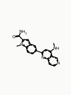 CNc1cc(-c2ccc3c(c2)cc(C(N)=O)n3C)nc2ccncc12